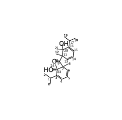 CC(C)C1=CC=CC(C)(C(=O)C2(C)C=CC=C(C(C)C)C2(C)O)C1(C)O